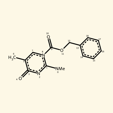 CNc1nc(=O)c(C)cn1C(=O)OCc1ccccc1